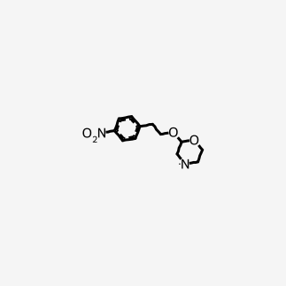 O=[N+]([O-])c1ccc(CCOC2C[N]CCO2)cc1